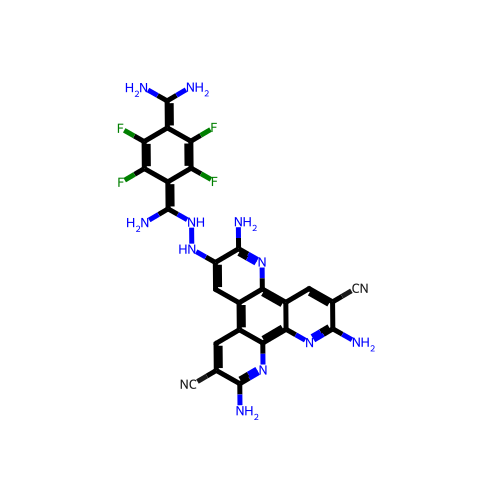 N#Cc1cc2c3cc(NNC(N)=c4c(F)c(F)c(=C(N)N)c(F)c4F)c(N)nc3c3cc(C#N)c(N)nc3c2nc1N